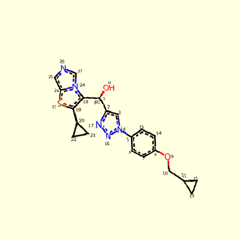 O[C@@H](c1cn(-c2ccc(OCC3CC3)cc2)nn1)c1c(C2CC2)sc2cncn12